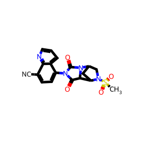 CS(=O)(=O)N1CC2CC1C1C(=O)N(c3ccc(C#N)c4ncccc34)C(=O)N21